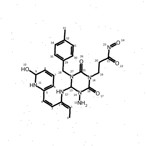 C/C=C(\C=C/C1=CC=CC(O)N1)NC1N(N)C(=O)N(CCC(=O)N=O)C(=O)N1Cc1ccc(C)cc1